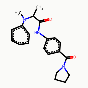 CC(C(=O)Nc1ccc(C(=O)N2CCCC2)cc1)N(C)c1ccccc1